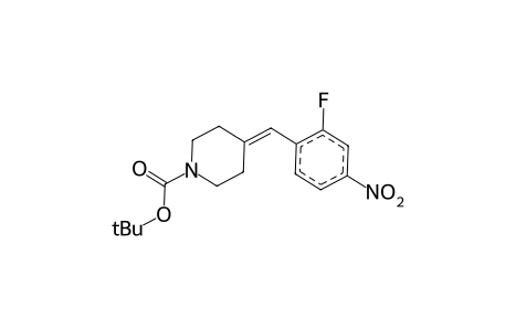 CC(C)(C)OC(=O)N1CCC(=Cc2ccc([N+](=O)[O-])cc2F)CC1